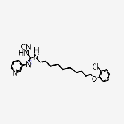 N#CN/C(=N\c1cccnc1)NCCCCCCCCCCOc1ccccc1Cl